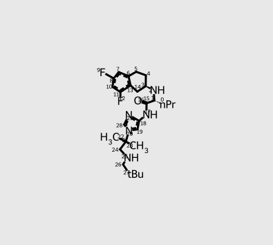 CCC[C@@H](N[C@@H]1CCc2cc(F)cc(F)c2C1)C(=O)Nc1cn(C(C)(C)CNCC(C)(C)C)cn1